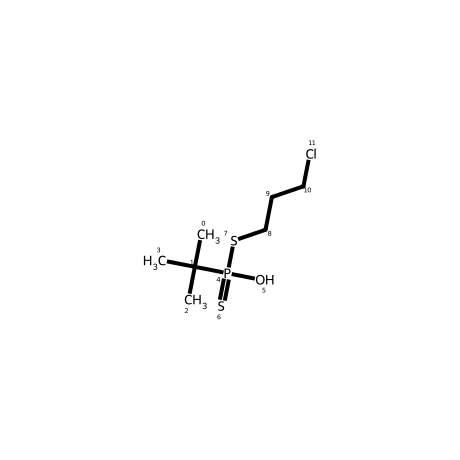 CC(C)(C)P(O)(=S)SCCCCl